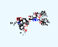 COc1ccc2c3c1O[C@H]1C(OC(=O)CC[C@H](NC(=O)OC(C)(C)C)C(=O)OC(C)(C)C)=CC[C@@]4(O)[C@@H](C2)N(C)CC[C@]314